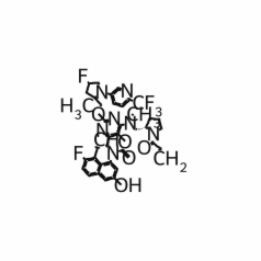 C#Cc1c(F)ccc2cc(O)cc(N3Cc4nc(OC[C@]5(C)C[C@@H](F)CN5c5ccc(C(F)(F)F)nc5)nc(N(C)C[C@@H]5CCCN5C(=O)C=C)c4OC3=O)c12